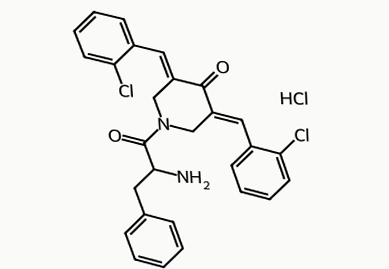 Cl.NC(Cc1ccccc1)C(=O)N1CC(=Cc2ccccc2Cl)C(=O)C(=Cc2ccccc2Cl)C1